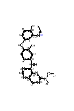 C/C=N\c1cc(Oc2ccc(Nc3ncnc4cnc(N(C)OC)nc34)cc2C)ccc1C